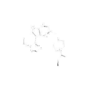 C=CC(=O)N1CCC(Oc2cnc3[nH]cc(-c4ncnn4C(C)C)c3n2)CC1